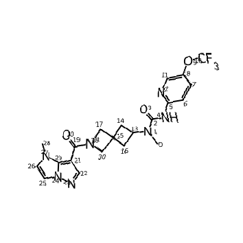 CN(C(=O)Nc1ccc(OC(F)(F)F)cn1)C1CC2(C1)CN(C(=O)c1cnn3ccn(C)c13)C2